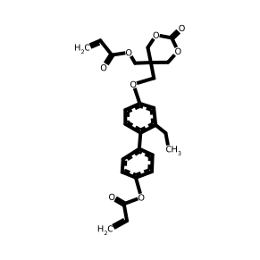 C=CC(=O)OCC1(COc2ccc(-c3ccc(OC(=O)C=C)cc3)c(CC)c2)COC(=O)OC1